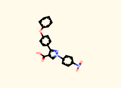 O=C(O)c1cn(-c2ccc([N+](=O)[O-])cc2)nc1-c1ccc(Oc2ccccc2)cc1